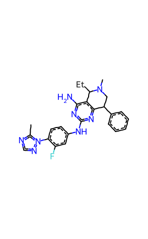 CCC1c2c(N)nc(Nc3ccc(-n4ncnc4C)c(F)c3)nc2C(c2ccccc2)CN1C